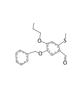 CCCOc1cc(SC)c(C=O)cc1OCc1ccccc1